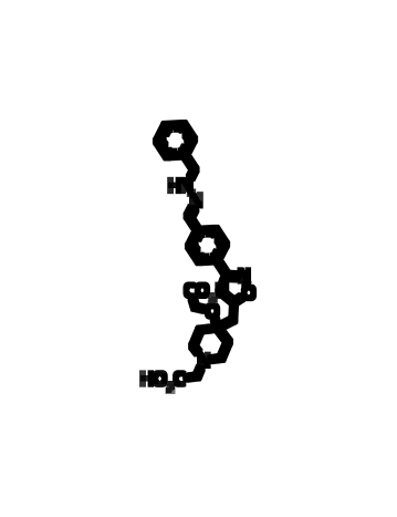 O=C(O)COC1(CC2CC(c3ccc(C=NNCc4ccccc4)cc3)=NO2)CCN(CC(=O)O)CC1